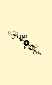 CCN1CCN(c2ccc(N3C[C@H](CNC(C)=O)OC3=O)cc2F)CC1=O